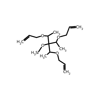 C=CCOC(C)C(O[SiH3])(C(C)OCC=C)C(C)OCC=C